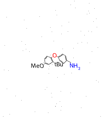 COc1ccc(Oc2ccc(CN)cc2)c(C(C)(C)C)c1